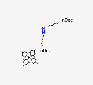 CCCCCCCCCCCCCCCCCC[NH+](C)CCCCCCCCCCCCCCCCCC.Cc1ccc([B-](c2ccc(C)cc2C)(c2ccc(C)cc2C)c2ccc(C)cc2C)c(C)c1